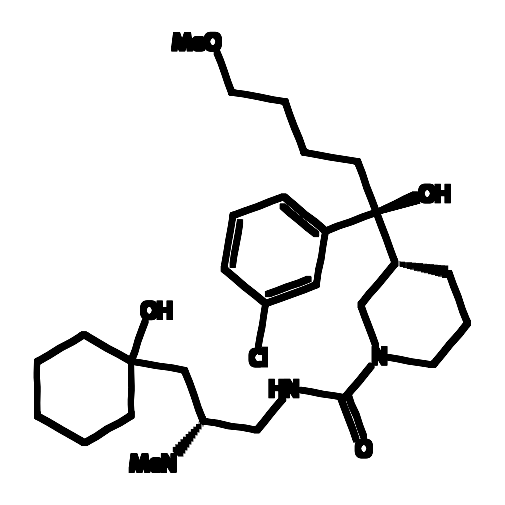 CN[C@@H](CNC(=O)N1CCC[C@@H]([C@@](O)(CCCCOC)c2cccc(Cl)c2)C1)CC1(O)CCCCC1